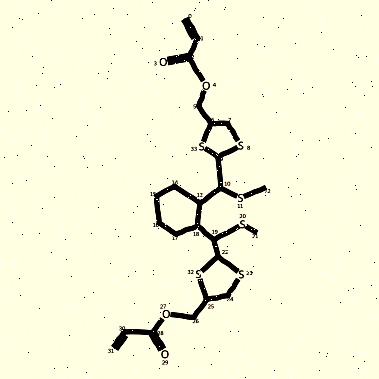 C=CC(=O)OCC1CSC(C(SC)C2CCCCC2C(SC)C2SCC(COC(=O)C=C)S2)S1